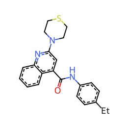 CCc1ccc(NC(=O)c2cc(N3CCSCC3)nc3ccccc23)cc1